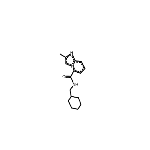 Cc1cn2c(C(=O)NCC3CCCCC3)cccc2n1